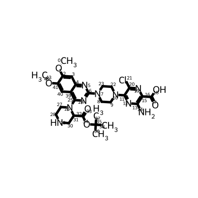 COc1cc2nc(N3CCN(c4nc(N)c(C(=O)O)nc4Cl)CC3)nc(N3CCNCC3C(=O)OC(C)(C)C)c2cc1OC